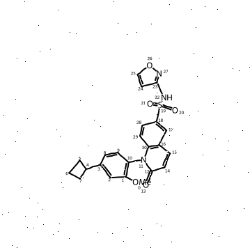 COc1cc(C2CCC2)ccc1-n1c(=O)ccc2cc(S(=O)(=O)Nc3ccon3)ccc21